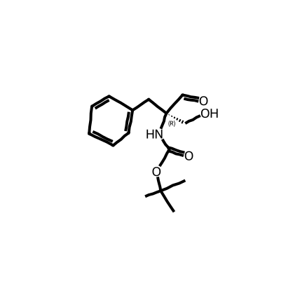 CC(C)(C)OC(=O)N[C@@](C=O)(CO)Cc1ccccc1